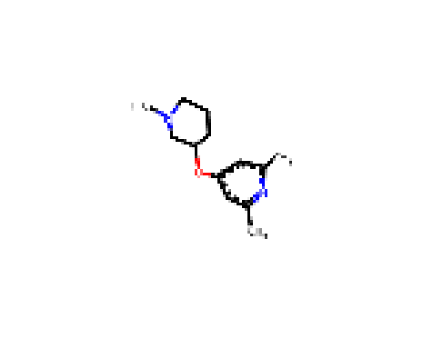 Cc1cc(OC2CCCN(C)C2)cc(C)n1